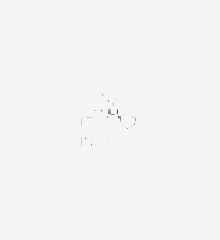 CC(C)CC(NC(=O)O)C(=O)NC(Cc1ccccc1)C(O)C(=O)NC1CC1